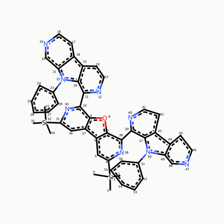 C[Si](C)(C)c1cc2c(oc3c(-c4nccc5c6ccncc6n(-c6ccccc6)c45)nc([Si](C)(C)C)cc32)c(-c2nccc3c4ccncc4n(-c4ccccc4)c23)n1